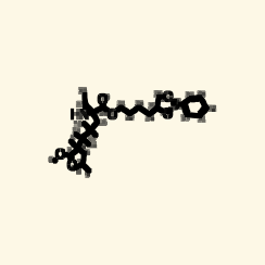 COC(=O)C(C)(CC(C)C)C(C)(C)C(C)(C)CC1(C(=O)OCCCCC2COB(c3ccccc3)O2)NC1C